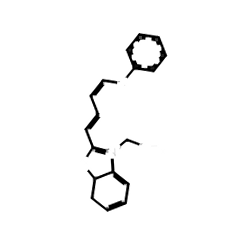 CC[N+]1=C(/C=C/C=C\Sc2ccccc2)OC2CC=CC=C21